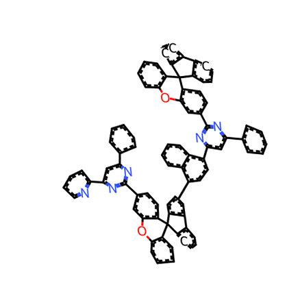 c1ccc(-c2cc(-c3ccccn3)nc(-c3ccc4c(c3)Oc3ccccc3C43c4ccccc4-c4cc(-c5ccc(-c6cc(-c7ccccc7)nc(-c7ccc8c(c7)Oc7ccccc7C87c8ccccc8-c8ccccc87)n6)c6ccccc56)ccc43)n2)cc1